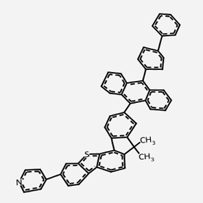 CC1(C)c2cc(-c3c4ccccc4c(-c4ccc(-c5ccccc5)cc4)c4ccccc34)ccc2-c2c1ccc1c2sc2cc(-c3ccncc3)ccc21